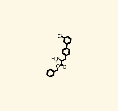 NC(Cc1ccc(-c2cccc(Cl)c2)cc1)C(=O)OCc1ccccc1